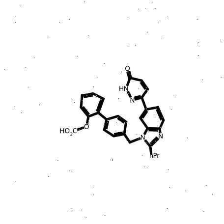 CCCc1nc2ccc(-c3ccc(=O)[nH]n3)cc2n1Cc1ccc(-c2ccccc2OC(=O)O)cc1